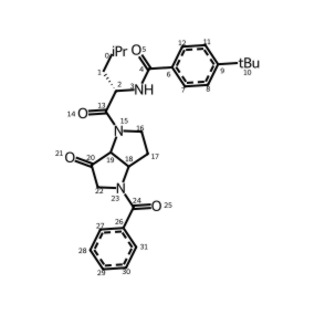 CC(C)C[C@H](NC(=O)c1ccc(C(C)(C)C)cc1)C(=O)N1CCC2C1C(=O)CN2C(=O)c1ccccc1